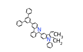 C=Cc1c(/C=C\C)c2cc(-c3nc4ccc(-c5cc(-c6ccccc6)cc(-c6ccccc6)c5)cc4c4ccccc34)ccc2n1-c1ccccc1